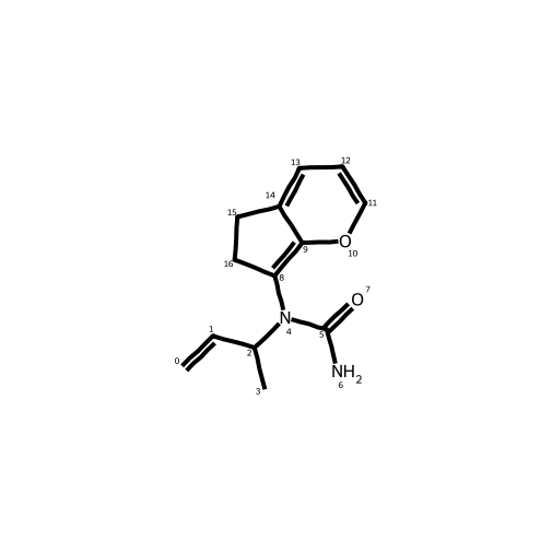 C=CC(C)N(C(N)=O)C1=C2OC=CC=C2CC1